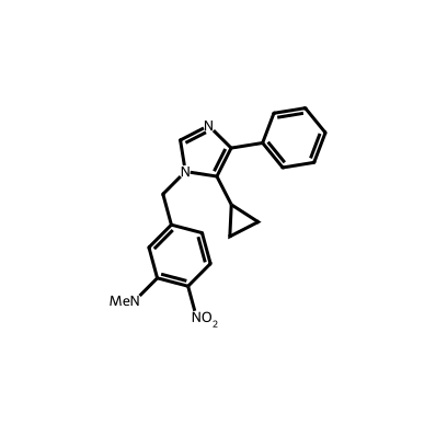 CNc1cc(Cn2cnc(-c3ccccc3)c2C2CC2)ccc1[N+](=O)[O-]